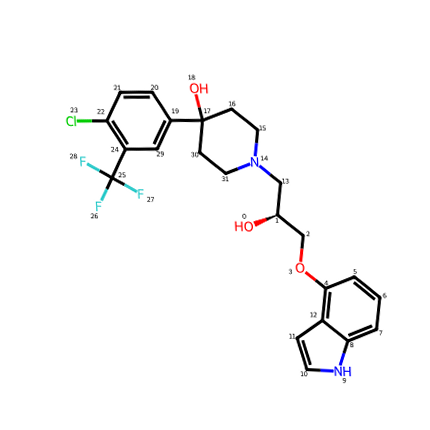 O[C@H](COc1cccc2[nH]ccc12)CN1CCC(O)(c2ccc(Cl)c(C(F)(F)F)c2)CC1